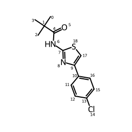 CC(C)(C)C(=O)Nc1nc(-c2ccc(Cl)cc2)cs1